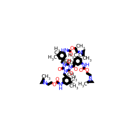 CC(CN1CC1C)OC(=O)NC1CC(C)(C)CC(C)(Cn2c(=O)n(CC3(C)CC(NC(=O)OCCN4CC4C)CC(C)(C)C3)c(=O)n(C(=O)C3(C)CC(NC(=O)OCCN4CC4C)CC(C)(C)C3)c2=O)C1